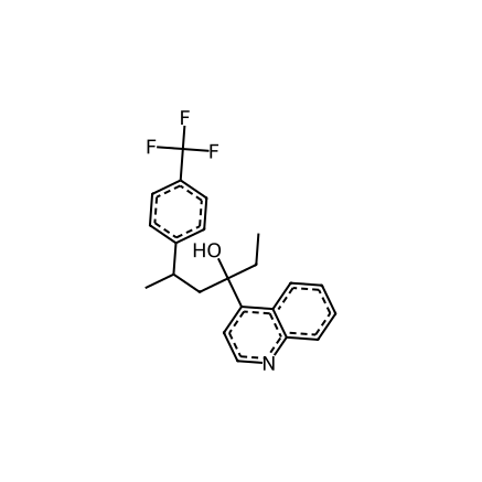 CCC(O)(CC(C)c1ccc(C(F)(F)F)cc1)c1ccnc2ccccc12